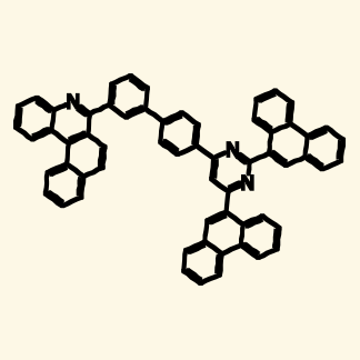 c1cc(-c2ccc(-c3cc(-c4cc5ccccc5c5ccccc45)nc(-c4cc5ccccc5c5ccccc45)n3)cc2)cc(-c2nc3ccccc3c3c2ccc2ccccc23)c1